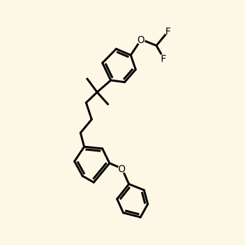 CC(C)(CCCc1cccc(Oc2ccccc2)c1)c1ccc(OC(F)F)cc1